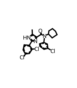 Cc1[nH]c(-c2ccc(Cl)cc2Cl)nc1C(=O)N(c1cccc(Cl)c1)C1CCCCC1